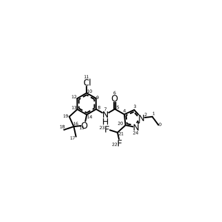 CCn1cc(C(=O)Nc2cc(Cl)cc3c2OC(C)(C)C3)c(C(F)F)n1